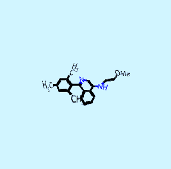 COCCNc1cnc(-c2c(C)cc(C)cc2C)c2ccccc12